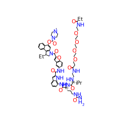 CCC(=O)NCCOCCOCCOCCOCCC(=O)NCCN[C@@H](C(=O)N[C@H](CCCNC(N)=O)C(=O)Nc1cccc2cc(C(=O)Nc3ccc4oc(C(=O)N5CC(CC)c6c5cc(OC(=O)N5CCN(C)CC5)c5ccccc65)cc4c3)[nH]c12)C(C)C